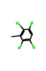 [CH2]c1c(Cl)c(Cl)cc(Cl)c1Cl